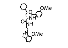 COc1cccc(C(=O)N[C@@H](CCC2CCCCC2)C(=O)NCCN2CCc3cccc(OC)c32)c1